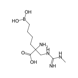 CNC(=N)NCC(N)(CCCCB(O)O)C(=O)O